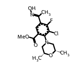 COC(=O)c1cc(C(C)=NO)c(F)c(Cl)c1N1C[C@@H](C)O[C@@H](C)C1